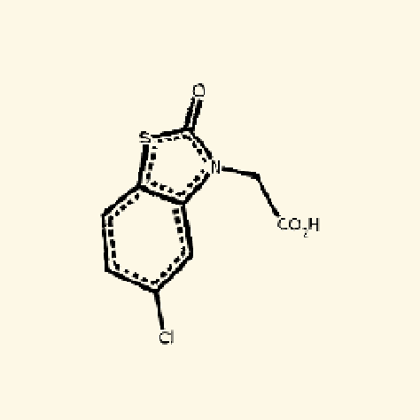 O=C(O)Cn1c(=O)sc2ccc(Cl)cc21